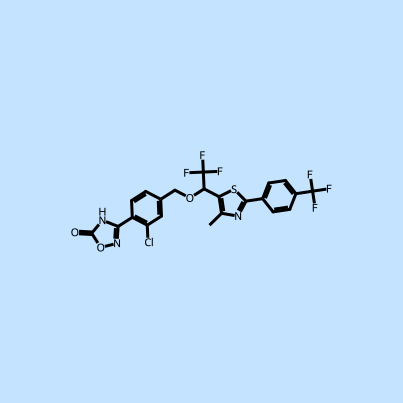 Cc1nc(-c2ccc(C(F)(F)F)cc2)sc1C(OCc1ccc(-c2noc(=O)[nH]2)c(Cl)c1)C(F)(F)F